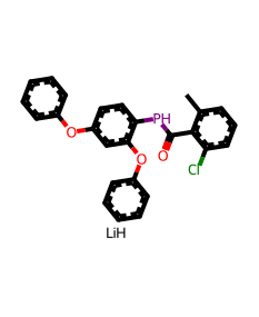 Cc1cccc(Cl)c1C(=O)Pc1ccc(Oc2ccccc2)cc1Oc1ccccc1.[LiH]